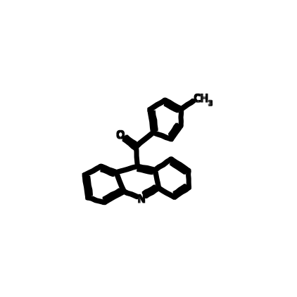 Cc1ccc(C(=O)c2c3ccccc3nc3ccccc23)cc1